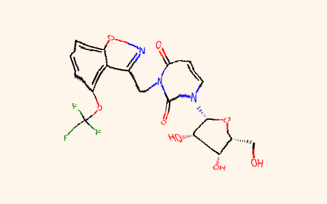 O=c1ccn([C@@H]2O[C@H](CO)[C@H](O)[C@@H]2O)c(=O)n1Cc1noc2cccc(OC(F)(F)F)c12